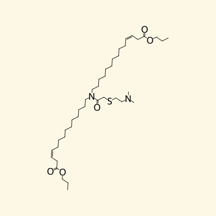 CCCOC(=O)C/C=C\CCCCCCCCCCN(CCCCCCCCCC/C=C\CC(=O)OCCC)C(=O)CSCCN(C)C